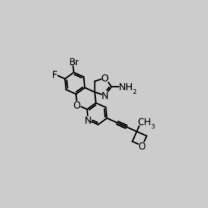 CC1(C#Cc2cnc3c(c2)C2(COC(N)=N2)c2cc(Br)c(F)cc2O3)COC1